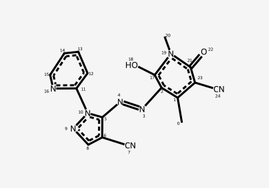 Cc1c(/N=N/c2c(C#N)cnn2-c2ccccn2)c(O)n(C)c(=O)c1C#N